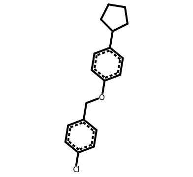 Clc1ccc(COc2ccc(C3CCCC3)cc2)cc1